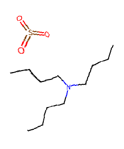 CCCCN(CCCC)CCCC.O=S(=O)=O